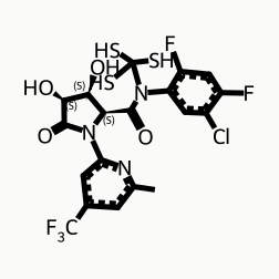 Cc1cc(C(F)(F)F)cc(N2C(=O)[C@@H](O)[C@@H](O)[C@H]2C(=O)N(c2cc(Cl)c(F)cc2F)C(S)(S)S)n1